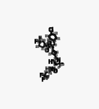 CC1(C)N=C(C23CC(N(Cc4ccc(Cl)cc4)S(=O)(=O)N4CCC(F)(F)C4)(C2)C3)N[C@H]1C(=O)NCCC(F)(F)F